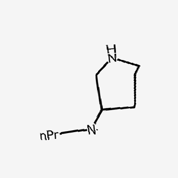 CCC[N]C1CCNC1